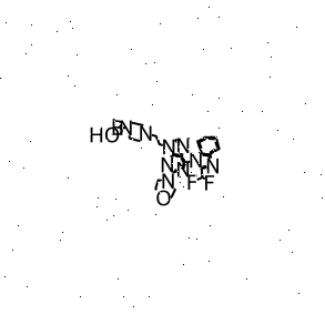 CB(O)N1CCN(CCn2cnc3c(-n4c(C(F)F)nc5ccccc54)nc(N4CCOCC4)nc32)CC1